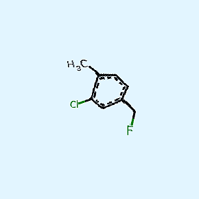 Cc1ccc(CF)cc1Cl